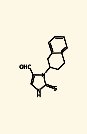 O=Cc1c[nH]c(=S)n1C1CCc2ccccc2C1